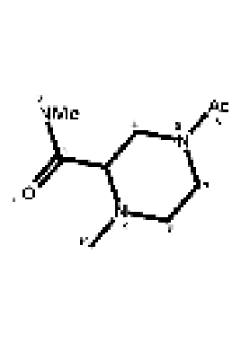 CNC(=O)C1CN(C(C)=O)CCN1C